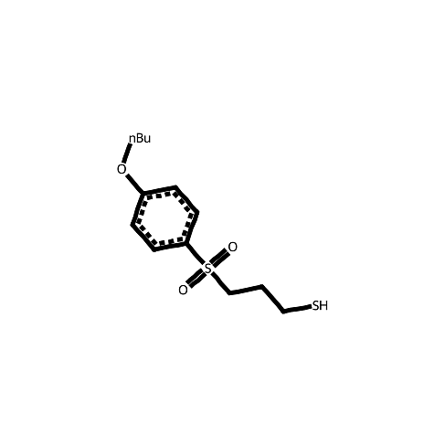 CCCCOc1ccc(S(=O)(=O)CCCS)cc1